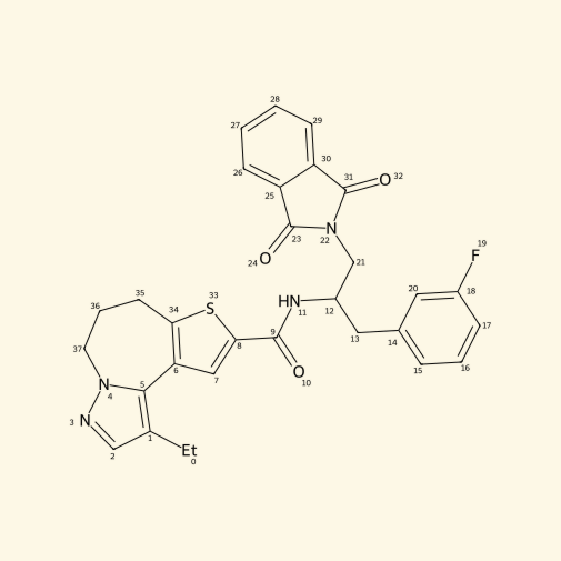 CCc1cnn2c1-c1cc(C(=O)NC(Cc3cccc(F)c3)CN3C(=O)c4ccccc4C3=O)sc1CCC2